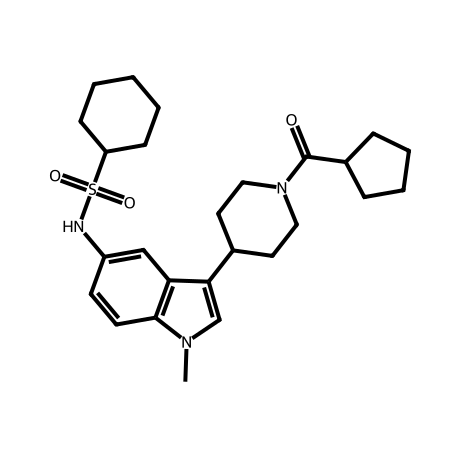 Cn1cc(C2CCN(C(=O)C3CCCC3)CC2)c2cc(NS(=O)(=O)C3CCCCC3)ccc21